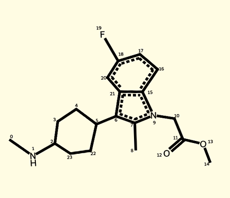 CNC1CCC(c2c(C)n(CC(=O)OC)c3ccc(F)cc23)CC1